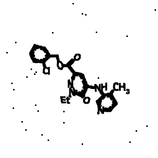 CCn1nc(C(=O)OCc2ccccc2Cl)cc(Nc2cnccc2C)c1=O